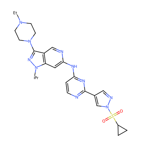 CCN1CCN(c2nn(C(C)C)c3cc(Nc4ccnc(-c5cnn(S(=O)(=O)C6CC6)c5)n4)ncc23)CC1